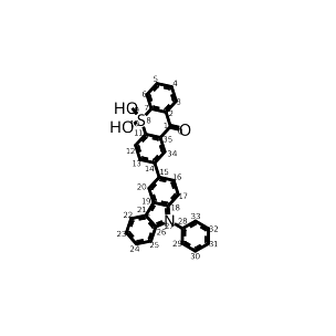 O=C1c2ccccc2S(O)(O)c2ccc(-c3ccc4c(c3)c3ccccc3n4-c3ccccc3)cc21